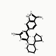 Nc1nc(-c2ccc3c(N)n[nH]c3c2)cc(N2CCC[CH]C2C2CCCC2)n1